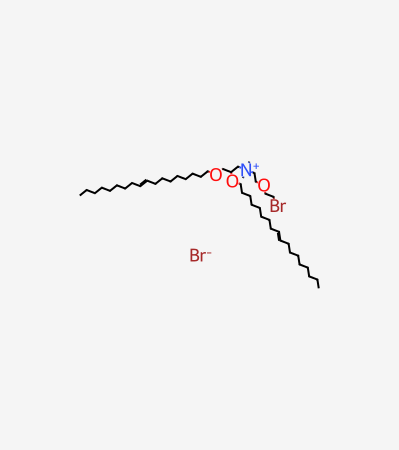 CCCCCCCCC=CCCCCCCCCOCC(C[N+](C)(C)CCOCCBr)OCCCCCCCCC=CCCCCCCCC.[Br-]